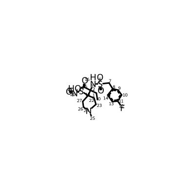 CCC(NS(=O)(=O)Cc1ccc(F)cc1)(C(=O)O)C1(SN=O)CCN(C)CC1